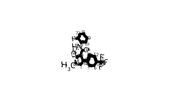 CN1CC(c2ccc(C(F)(F)F)cc2)C(C(=O)Nc2ccccc2F)C1=O